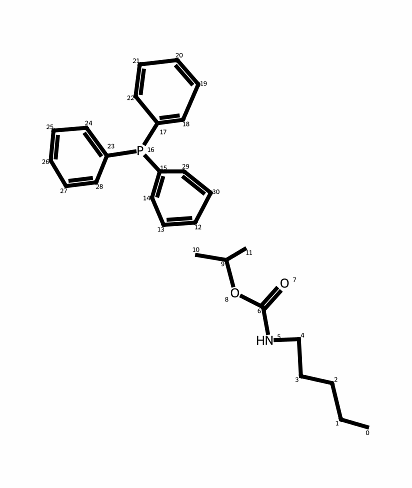 CCCCCNC(=O)OC(C)C.c1ccc(P(c2ccccc2)c2ccccc2)cc1